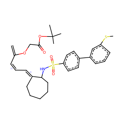 C=C(/C=C\C=C1/CCCCCC1NS(=O)(=O)c1ccc(-c2cccc(SC)c2)cc1)OCC(=O)OC(C)(C)C